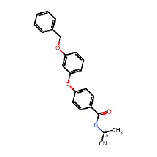 C[C@@H](C#N)NC(=O)c1ccc(Oc2cccc(OCc3ccccc3)c2)cc1